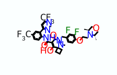 C[C@H]1COC[C@H](C)N1CCOc1ccc(CN2C(=O)C(C(=O)Nc3ccc(C(F)(F)F)cc3-c3cc(C(F)(F)F)ncn3)=C(O)C3(CCC3)N2C)c(F)c1F